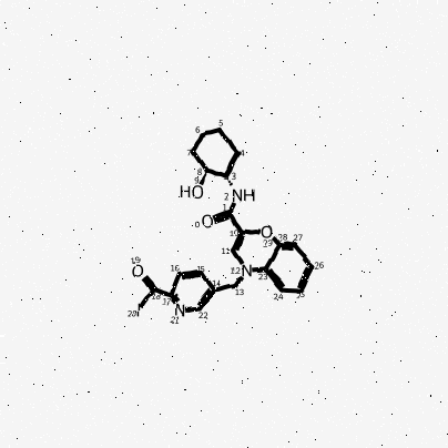 O=C(N[C@H]1CCCC[C@@H]1O)C1=CN(Cc2ccc(C(=O)I)nc2)c2ccccc2O1